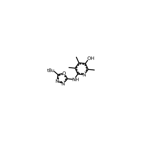 Cc1nc(Nc2nnc(C(C)(C)C)o2)c(C)c(C)c1O